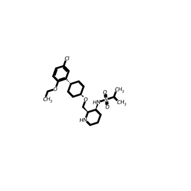 CCOc1ccc(Cl)cc1[C@H]1CC[C@@H](OC[C@@H]2NCCC[C@@H]2NS(=O)(=O)C(C)C)CC1